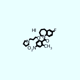 Cc1cc([N+](=O)[O-])ccc1C(=O)N1c2ccc(F)cc2CCCC1OCCCN1CCCC1.I